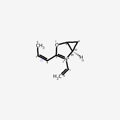 C=C[N+]1=C(/C=C\C)OC2C[C@H]21